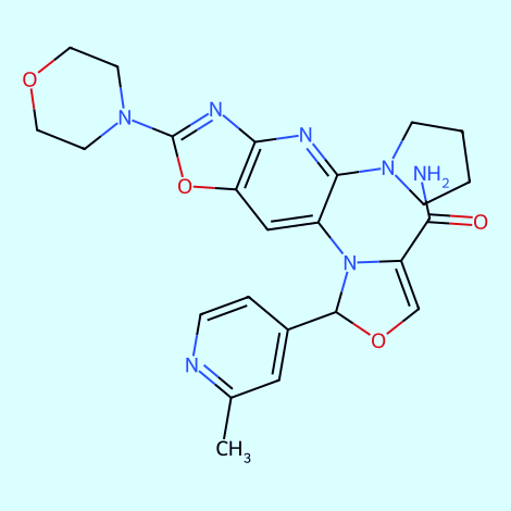 Cc1cc(C2OC=C(C(N)=O)N2c2cc3oc(N4CCOCC4)nc3nc2N2CCCC2)ccn1